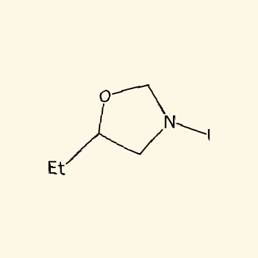 CCC1CN(I)CO1